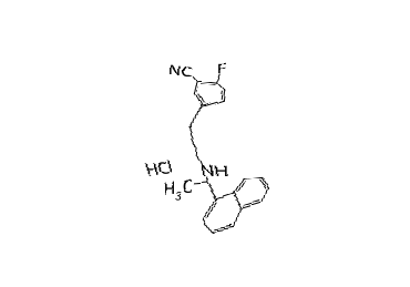 CC(NCCCc1ccc(F)c(C#N)c1)c1cccc2ccccc12.Cl